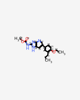 CCCc1cc(-c2cnc3nc(NC(=O)OC)[nH]c3c2)ccc1OCC